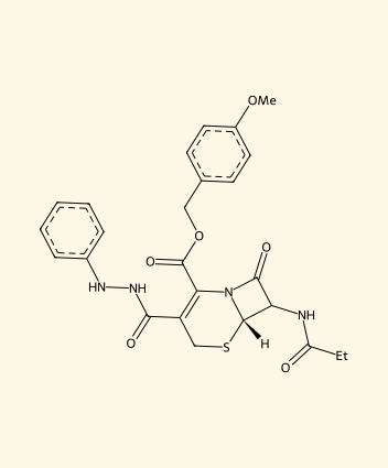 CCC(=O)NC1C(=O)N2C(C(=O)OCc3ccc(OC)cc3)=C(C(=O)NNc3ccccc3)CS[C@@H]12